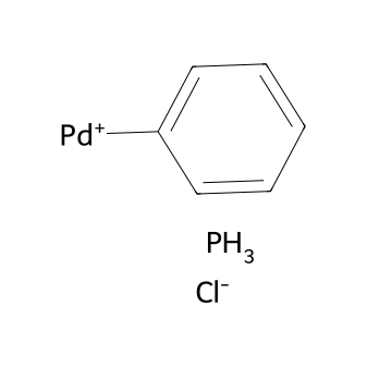 P.[Cl-].[Pd+][c]1ccccc1